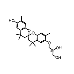 Cc1cc2c(cc1O)C(C)(C)CC1(CC(C)(C)c3cc(OC[C@@H](O)CO)c(C)cc3O1)O2